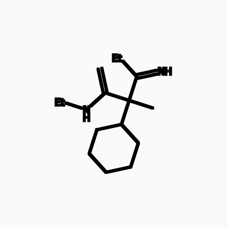 C=C(NCC)C(C)(C(=N)CC)C1CCCCC1